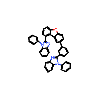 c1ccc(-n2c(-c3cccc(-c4ccc5oc6cccc(-c7nc8ccccc8n7-c7ccccc7)c6c5c4)c3)nc3ccccc32)cc1